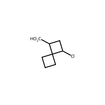 O=C(O)C1CC(Cl)C12CCC2